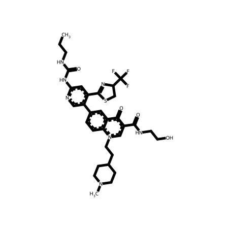 CCCNC(=O)Nc1cc(C2=NC(C(F)(F)F)CS2)c(-c2ccc3c(c2)c(=O)c(C(=O)NCCO)cn3CCC2CCN(C)CC2)cn1